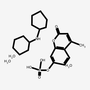 C1CCC(NC2CCCCC2)CC1.Cc1cc(=O)oc2cc(OP(=O)(O)O)ccc12.O.O.O